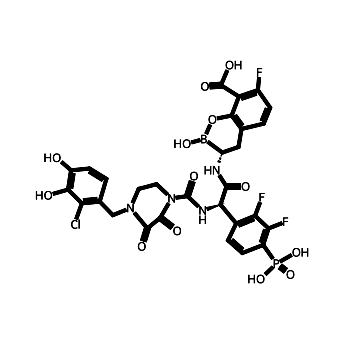 O=C(O)c1c(F)ccc2c1OB(O)[C@@H](NC(=O)[C@H](NC(=O)N1CCN(Cc3ccc(O)c(O)c3Cl)C(=O)C1=O)c1ccc(P(=O)(O)O)c(F)c1F)C2